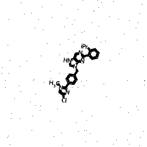 CC(C)c1ccccc1-c1ncc2c(n1)N(Cc1ccc(-c3nc(Cl)cn3C)cc1)CN2